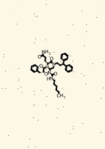 CCCCCCNC(=O)N1O[C@H](Cc2ccccc2)C(=O)N2C1CN(CCC(c1ccccc1)c1ccccc1)C(=O)[C@@H]2CCC(N)=O